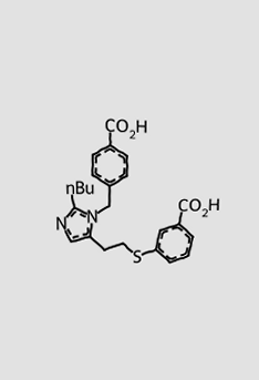 CCCCc1ncc(CCSc2cccc(C(=O)O)c2)n1Cc1ccc(C(=O)O)cc1